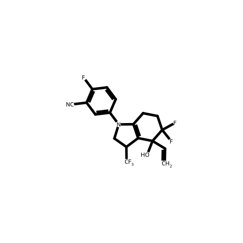 C=CC1(O)C2=C(CCC1(F)F)N(c1ccc(F)c(C#N)c1)CC2C(F)(F)F